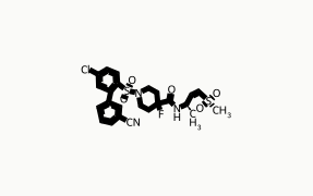 C[C@@H](/C=C\S(C)(=O)=O)NC(=O)C1(F)CCN(S(=O)(=O)c2ccc(Cl)cc2-c2cccc(C#N)c2)CC1